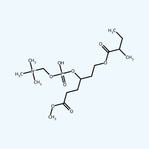 CCC(C)C(=O)OCCC(CCC(=O)OC)OP(=O)(O)OC[N+](C)(C)C